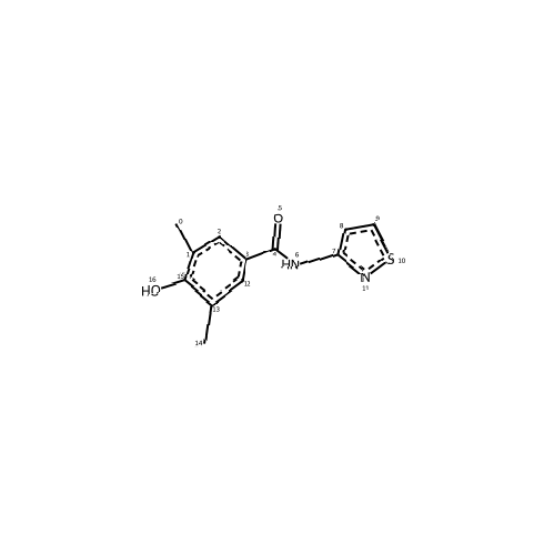 Cc1cc(C(=O)Nc2ccsn2)cc(C)c1O